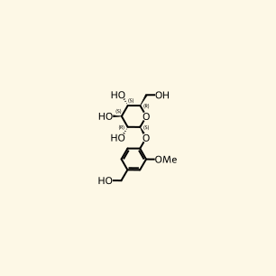 COc1cc(CO)ccc1O[C@@H]1O[C@H](CO)[C@@H](O)[C@H](O)[C@H]1O